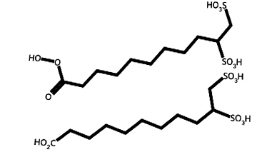 O=C(CCCCCCCCC(CS(=O)(=O)O)S(=O)(=O)O)OO.O=C(O)CCCCCCCCC(CS(=O)(=O)O)S(=O)(=O)O